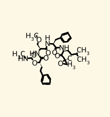 CNC(=O)O[C@@H](CCc1ccccc1)C(=O)N[C@@H](COC)C(=O)N[C@@H](Cc1ccccc1)C(=O)N[C@@H](CCC(C)C)C(=O)[C@@]1(C)CO1